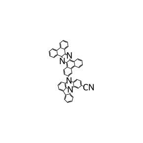 N#Cc1ccc2c(c1)-n1c3ccccc3c3cccc(c31)N2c1ccc2c(c1)c1ccccc1c1nc3c4ccccc4c4ccccc4c3nc21